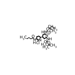 CCCCC(=O)Nc1ccc(-c2cc(NC(=O)OC(C)(C)C)nc(NC(=O)OC(C)(C)C)c2)nc1Cl